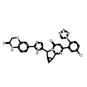 O=C1COc2cc(-c3ncc(C4C5=CC5c5nc(-c6cc(Cl)ccc6-n6cnnn6)cc(=O)n54)[nH]3)ccc2N1